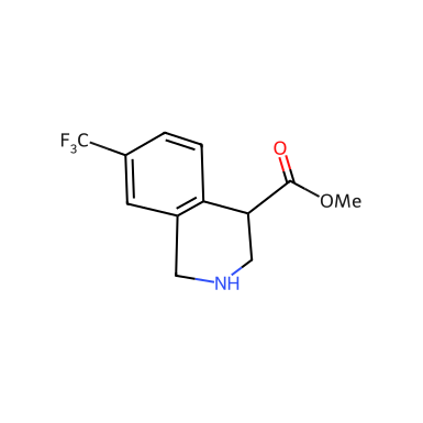 COC(=O)C1CNCc2cc(C(F)(F)F)ccc21